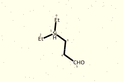 CC[SiH](CC)CCC=O